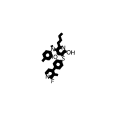 CCCCc1nc(O)c(Sc2ccc(-c3ccnc(F)c3C)cc2)c(O)c1N(C)c1ccc(C)cc1